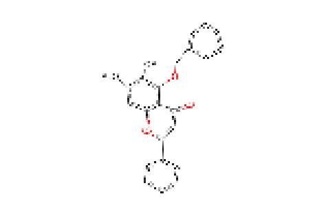 CC(=O)Oc1cc2oc(-c3ccccc3)cc(=O)c2c(OCc2ccccc2)c1OC(C)=O